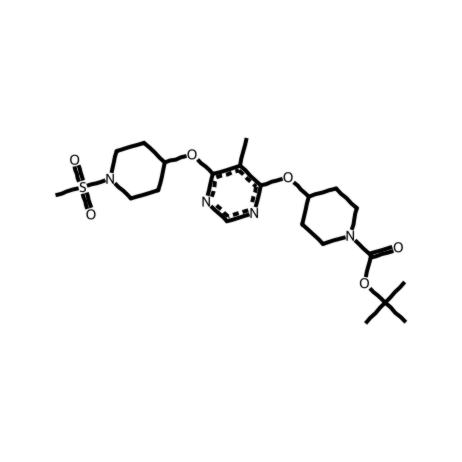 Cc1c(OC2CCN(C(=O)OC(C)(C)C)CC2)ncnc1OC1CCN(S(C)(=O)=O)CC1